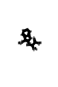 Cc1c(NC(C)C(=O)O)sc2ccccc12